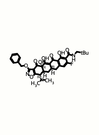 CN(C)[C@@H]1c2onc(OCc3ccccc3)c2C(=O)[C@@]2(O)C(O)=C3C(=O)c4c(cc(F)c(C(=O)NCC(C)(C)C)c4O)C[C@H]3C[C@@H]12